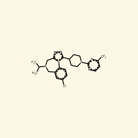 CC(N1Cc2cc(Cl)ccc2-n2c(nnc2C2CCN(c3nccc(C(F)(F)F)n3)CC2)C1)C(F)(F)F